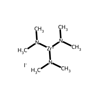 C[N](C)[Zr+]([N](C)C)[N](C)C.[I-]